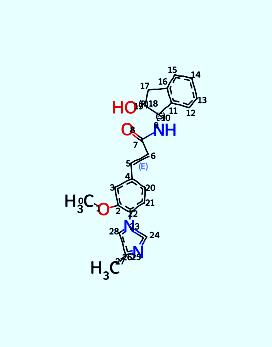 COc1cc(/C=C/C(=O)N[C@H]2c3ccccc3C[C@H]2O)ccc1-n1cnc(C)c1